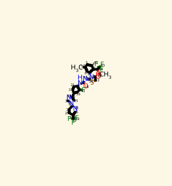 COC(c1ccc(C)cc1N1C(=O)CS/C1=N\C(=O)Nc1ccc(-c2cn(-c3ccc(C(F)(F)F)cn3)cn2)cc1F)C(F)(F)F